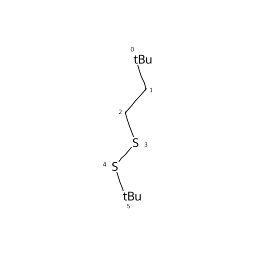 CC(C)(C)CCSSC(C)(C)C